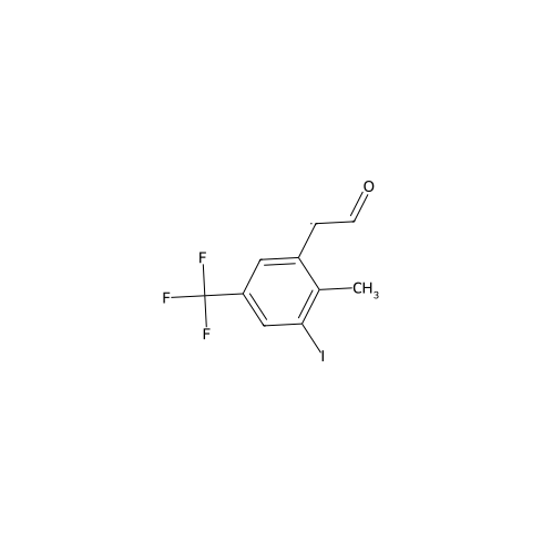 Cc1c(I)cc(C(F)(F)F)cc1[CH]C=O